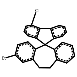 CCc1ccc2c(c1)CCc1ccccc1C21c2ccccc2-c2c(Cl)cccc21